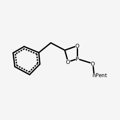 CCCCCOP1OC(Cc2ccccc2)O1